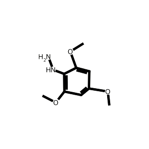 COc1cc(OC)c(NN)c(OC)c1